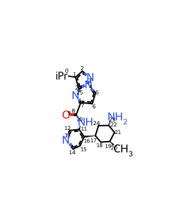 CC(C)c1cnn2ccc(C(=O)Nc3cnccc3[C@@H]3C[C@H](C)C[C@H](N)C3)nc12